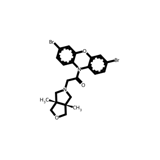 C[C@@]12COC[C@]1(C)CN(CC(=O)N1c3ccc(Br)cc3Oc3cc(Br)ccc31)C2